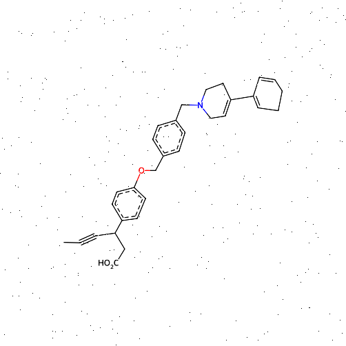 CC#CC(CC(=O)O)c1ccc(OCc2ccc(CN3CC=C(C4=CCCC=C4)CC3)cc2)cc1